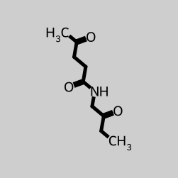 CCC(=O)CNC(=O)CCC(C)=O